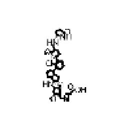 COc1cc(N[C@H]2CCc3c(-c4cccc(-c5ccc(CNC[C@@H]6CCC(=O)N6)c(OC)n5)c4Cl)cccc32)c(Cl)cc1CN(C)CCC(=O)O